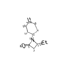 CCC1CC(=O)N1C1CCNCC1